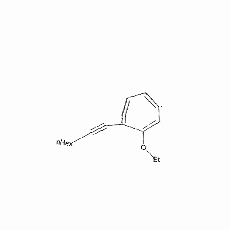 CCCCCCC#Cc1cc[c]cc1OCC